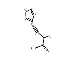 CC(C#N)C(=O)O.c1ccoc1